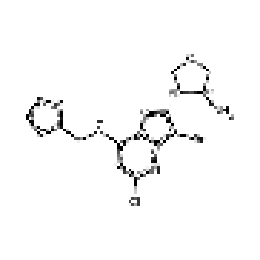 N[C@@H]1COC[C@H]1c1oc2c(NCc3cccs3)cc(Cl)nc2c1Br